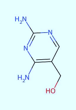 Nc1ncc(CO)c(N)n1